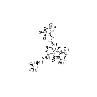 CC(O)CNCCNc1ccc(NCCN2CC(C)OC(=O)C2=O)c2c1C(=O)c1c(O)ccc(O)c1C2=O